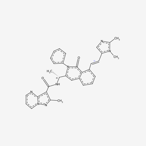 Cc1nn2cccnc2c1C(=O)N[C@H](C)c1cc2cccc(/C=C/c3cnc(C)n3C)c2c(=O)n1-c1ccccc1